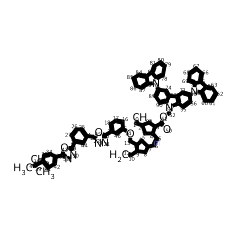 C=CC1CC(/C=C\C2CC(C=C)C(COc3cccc(-c4nnc(-c5cccc(-c6nnc(-c7ccc(C(C)(C)C)cc7)o6)c5)o4)c3)C2)C(C(=O)OCn2c3ccc(-n4c5ccccc5c5ccccc54)cc3c3cc(-n4c5ccccc5c5ccccc54)ccc32)C1